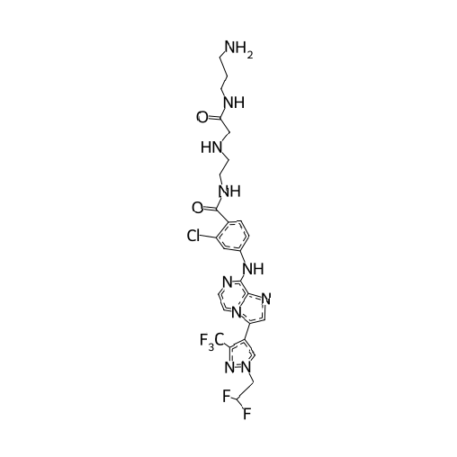 NCCCNC(=O)CNCCNC(=O)c1ccc(Nc2nccn3c(-c4cn(CC(F)F)nc4C(F)(F)F)cnc23)cc1Cl